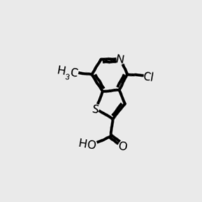 Cc1cnc(Cl)c2cc(C(=O)O)sc12